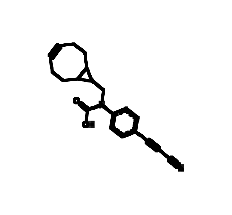 N#CC#Cc1ccc(N(CC2C3CCC#CCCC32)C(=O)O)cc1